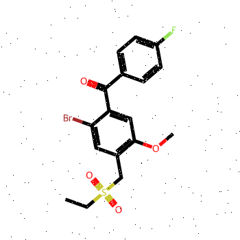 CCS(=O)(=O)Cc1cc(Br)c(C(=O)c2ccc(F)cc2)cc1OC